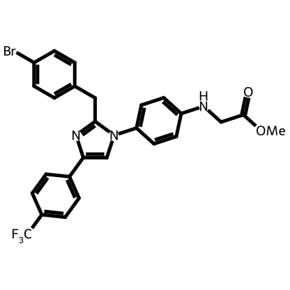 COC(=O)CNc1ccc(-n2cc(-c3ccc(C(F)(F)F)cc3)nc2Cc2ccc(Br)cc2)cc1